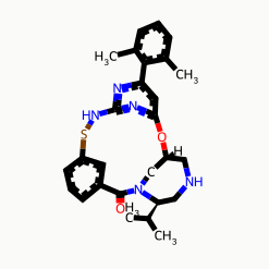 Cc1cccc(C)c1-c1cc2nc(n1)NSc1cccc(c1)C(=O)N1C[C@@H](CNC[C@H]1C(C)C)O2